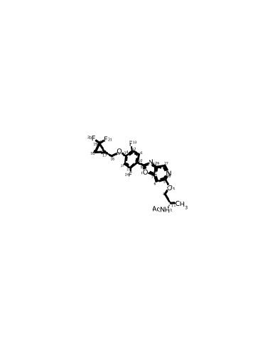 CC(=O)N[C@@H](C)COc1cc2oc(-c3cc(F)c(OCC4CC4(F)F)cc3F)nc2cn1